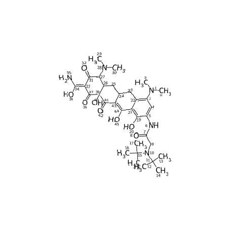 CN(C)c1cc(NC(=O)CN(C(C)(C)C)C(C)(C)C)c(O)c2c1CC1CC3C(N(C)C)C(=O)/C(=C(\N)O)C(=O)C3(O)C(=O)C1=C2O